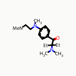 CCC(CC)(C(=O)c1ccc(N(C)CCNC)cc1)N(C)C